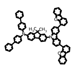 CC1(C)c2cc(N(c3ccc(-c4ccccc4)cc3)c3ccc(-c4ccccc4)cc3)ccc2-c2ccc(-n3c4ccc(-c5cccc6c5oc5ccccc56)cc4c4cc(-c5cccc6c5oc5ccccc56)ccc43)cc21